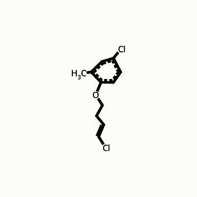 Cc1cc(Cl)ccc1OCCC=CCl